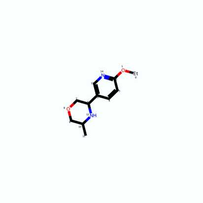 CCOc1ccc(C2COCC(C)N2)cn1